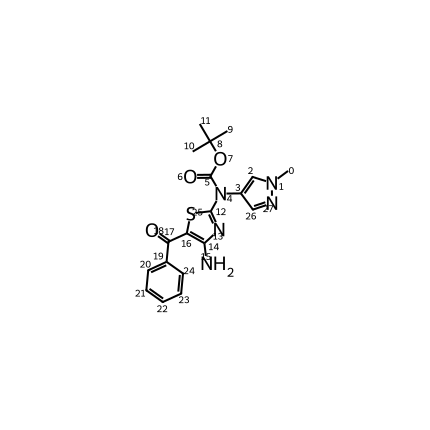 Cn1cc(N(C(=O)OC(C)(C)C)c2nc(N)c(C(=O)c3ccccc3)s2)cn1